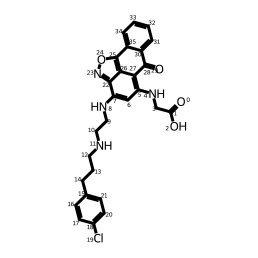 O=C(O)CNc1cc(NCCNCCCc2ccc(Cl)cc2)c2noc3c2c1C(=O)c1ccccc1-3